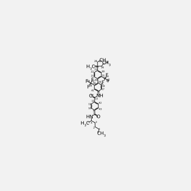 CCCCC(C)NC(=O)c1ccc(C(=O)Nc2ccc(-c3ccc(C(C)(CC)CC)cc3C(F)(F)F)c(C(F)(F)F)c2)cc1